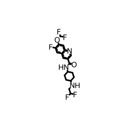 O=C(NC1CCC(NCC(F)F)CC1)c1cnc2cc(OC(F)F)c(F)cc2c1